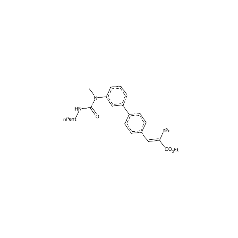 CCCCCNC(=O)N(C)c1cccc(-c2ccc(/C=C(\CCC)C(=O)OCC)cc2)c1